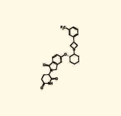 O=C1CCC(N2Cc3cc(O[C@H]4CCCCC4N4CC(c5cccc(C(F)(F)F)c5)C4)ccc3C2=O)C(=O)N1